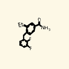 CCc1cc(C(N)=O)ccc1Cc1cccc(F)c1F